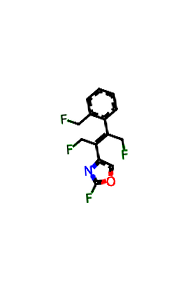 FCC(=C(CF)c1ccccc1CF)c1coc(F)n1